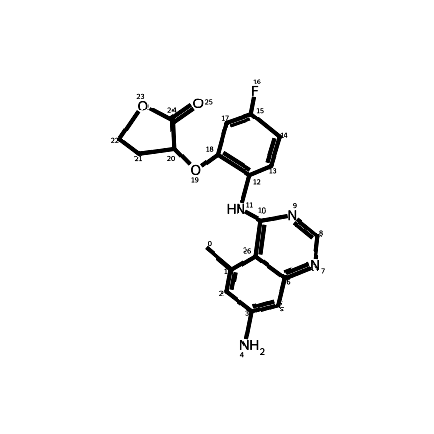 Cc1cc(N)cc2ncnc(Nc3ccc(F)cc3OC3CCOC3=O)c12